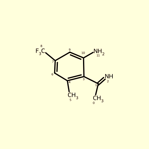 CC(=N)c1c(C)cc(C(F)(F)F)cc1N